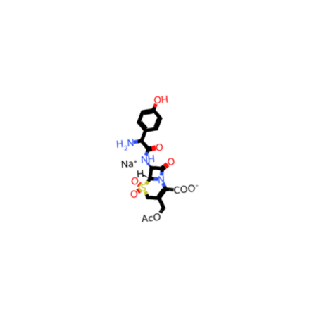 CC(=O)OCC1=C(C(=O)[O-])N2C(=O)[C@H](NC(=O)C(N)c3ccc(O)cc3)[C@@H]2S(=O)(=O)C1.[Na+]